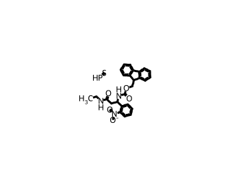 CCNC(=O)CC(NC(=O)OCC1c2ccccc2-c2ccccc21)c1ccccc1[N+](=O)[O-].P=S